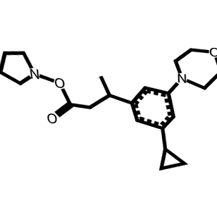 CC(CC(=O)ON1CCCC1)c1cc(C2CC2)cc(N2CCOCC2)c1